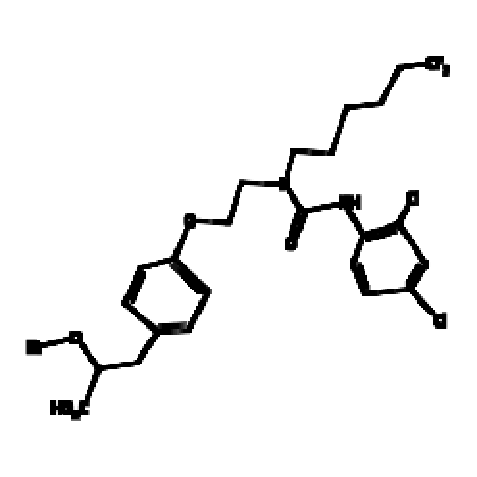 CCOC(Cc1ccc(OCCN(CCCCCC(F)(F)F)C(=O)Nc2ccc(Cl)cc2Cl)cc1)C(=O)O